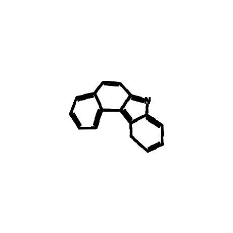 C1=CCC2=c3c(ccc4ccccc34)=NC2=C1